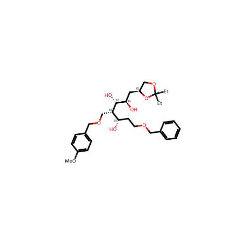 CCC1(CC)OC[C@H](C[C@@H](O)[C@@H](O)[C@@H](COCc2ccc(OC)cc2)[C@@H](O)CCOCc2ccccc2)O1